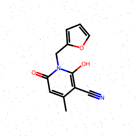 Cc1cc(=O)n(Cc2ccco2)c(O)c1C#N